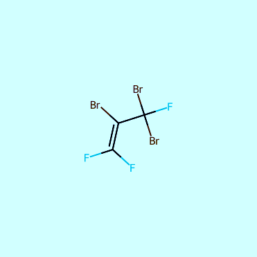 FC(F)=C(Br)C(F)(Br)Br